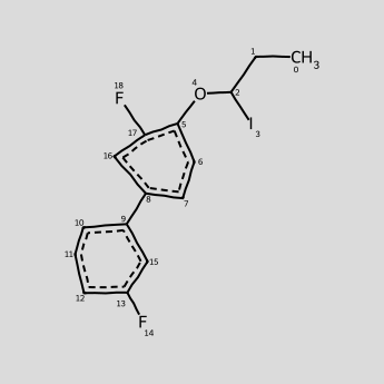 CCC(I)Oc1ccc(-c2cccc(F)c2)cc1F